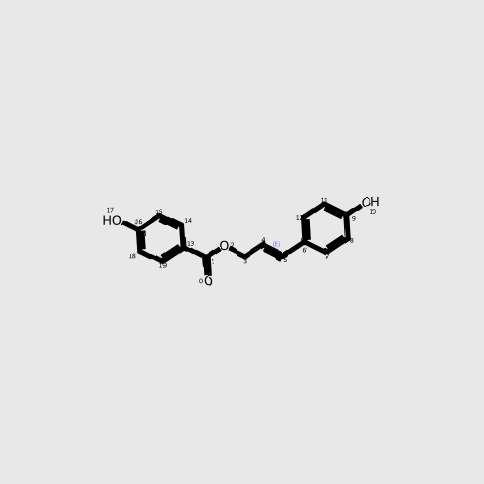 O=C(OC/C=C/c1ccc(O)cc1)c1ccc(O)cc1